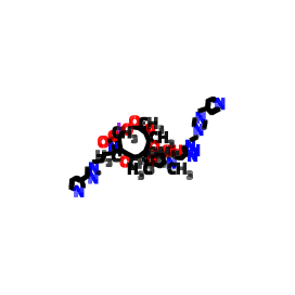 CO[C@]1(C)C[C@@H](C)C(=O)[C@H](C)[C@H]2N(CCCCn3cnc(-c4cccnc4)c3)C(=O)O[C@]2(C)[C@@H](I)OC(=O)[C@H](C)C(=O)[C@H](C)[C@H]1O[C@@H]1O[C@H](C)C[C@H](N(C)CCc2cn(CCN3CCN(Cc4ccncc4)CC3)nn2)[C@H]1O